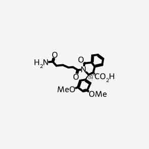 COc1cc(OC)cc([C@@H]2[C@@H](C(=O)O)c3ccccc3C(=O)N2C(=O)CCCCC(N)=O)c1